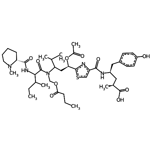 CCCC(=O)OCN(C(=O)C(NC(=O)[C@H]1CCCCN1C)C(C)CC)C(C[C@@H](OC(C)=O)c1nc(C(=O)N[C@@H](Cc2ccc(O)cc2)C[C@H](C)C(=O)O)cs1)C(C)C